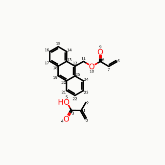 C=C(C)C(=O)O.C=CC(=O)OCc1c2ccccc2cc2ccccc12